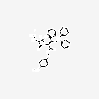 COc1ccc(COC(=O)C2=C(C[P+](c3ccccc3)(c3ccccc3)c3ccccc3)CS[C@H]3C(NC=O)C(=O)N23)cc1.[I-]